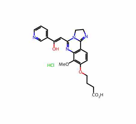 COc1c(OCCCC(=O)O)ccc2c1N=C(C=C(O)c1cccnc1)N1CCN=C21.Cl